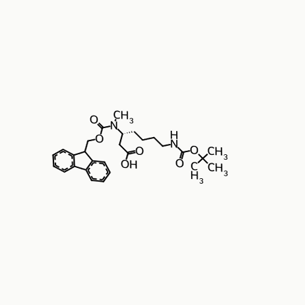 CN(C(=O)OCC1c2ccccc2-c2ccccc21)[C@H](CCCCNC(=O)OC(C)(C)C)CC(=O)O